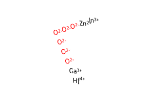 [Ga+3].[Hf+4].[In+3].[O-2].[O-2].[O-2].[O-2].[O-2].[O-2].[Zn+2]